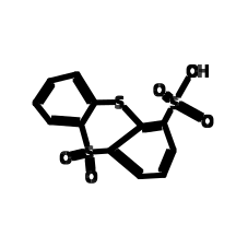 O=S(=O)(O)c1cccc2c1Sc1ccccc1S2(=O)=O